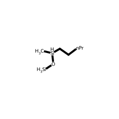 CCCCC[SiH](C)O[SiH3]